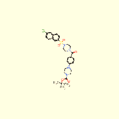 CC(C)(C)OC(=O)N1CCN(c2ccc(C(=O)N3CCN(S(=O)(=O)c4ccc5cc(Cl)ccc5c4)CC3)cc2)CC1